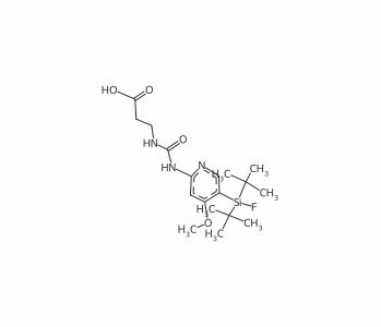 COc1cc(NC(=O)NCCC(=O)O)ncc1[Si](F)(C(C)(C)C)C(C)(C)C